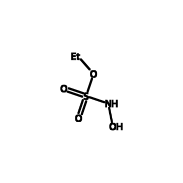 CCOS(=O)(=O)NO